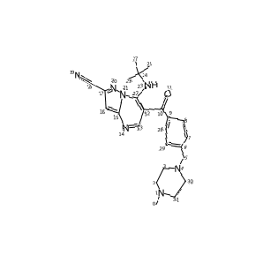 CN1CCN(Cc2ccc(C(=O)c3cnc4cc(C#N)nn4c3NC(C)(C)C)cc2)CC1